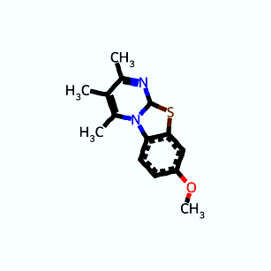 COc1ccc2c(c1)SC1N=C(C)C(C)=C(C)N21